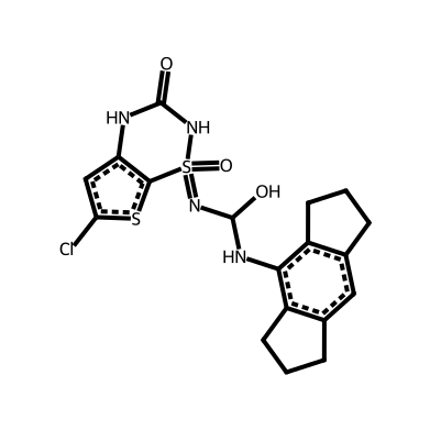 O=C1Nc2cc(Cl)sc2S(=O)(=NC(O)Nc2c3c(cc4c2CCC4)CCC3)N1